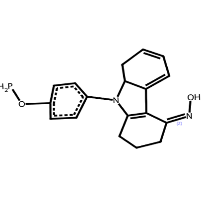 O/N=C1/CCCC2=C1C1=CC=CCC1N2c1ccc(OP)cc1